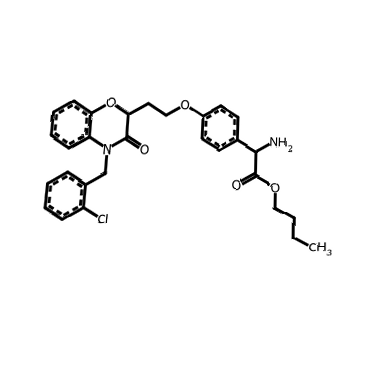 CCCCOC(=O)C(N)c1ccc(OCCC2Oc3ccccc3N(Cc3ccccc3Cl)C2=O)cc1